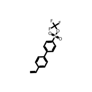 C=Cc1ccc(-c2ccc(S(=O)(=O)OC(F)(F)F)cc2)cc1